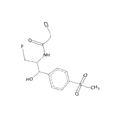 CS(=O)(=O)c1ccc(C(O)C(CF)NC(=O)CCl)cc1